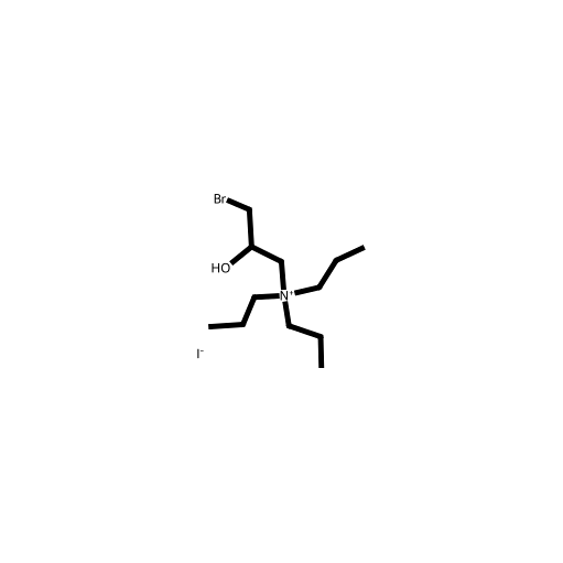 CCC[N+](CCC)(CCC)CC(O)CBr.[I-]